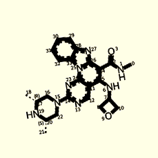 CNC(=O)c1c(NC2COC2)c2cnc(N3C[C@@H](C)N[C@@H](C)C3)nc2n2c1nc1ccccc12